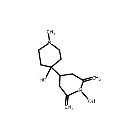 C=C1CC(C2(O)CCN(C)CC2)CC(=C)N1O